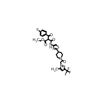 CCOC(=O)C(C(=O)Nc1csc(C2CCN(C(=O)Cn3nc(C(F)(F)F)cc3C)CC2)n1)C(=O)c1ccc(F)cc1